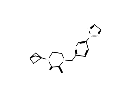 O=C1C(=O)N(C23CC(C2)C3)CCN1Cc1ccc(-n2nccn2)cn1